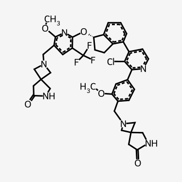 COc1cc(-c2nccc(-c3cccc4c3CC[C@@H]4Oc3nc(OC)c(CN4CC5(CNC(=O)C5)C4)cc3C(F)(F)F)c2Cl)ccc1CN1CC2(CNC(=O)C2)C1